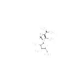 N=C(N)c1nnn(C2OC(CO)C(O)C2O)c1N